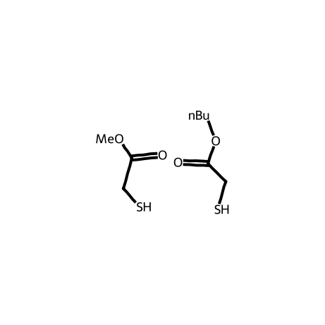 CCCCOC(=O)CS.COC(=O)CS